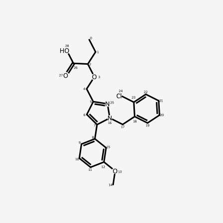 CCC(OCc1cc(-c2cccc(OC)c2)n(Cc2ccccc2Cl)n1)C(=O)O